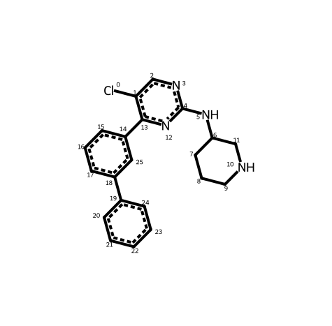 Clc1cnc(NC2CCCNC2)nc1-c1cccc(-c2ccccc2)c1